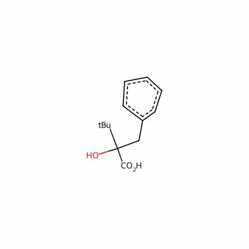 CC(C)(C)C(O)(Cc1ccccc1)C(=O)O